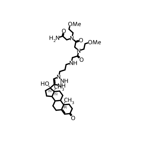 COCCN(CC(N)=O)C(=O)CN(CCOC)C(=O)CNCCCN1C=C([C@]2(O)CCC3C4CCC5=CC(=O)CC[C@]5(C)C4CC[C@@]32C)NN1